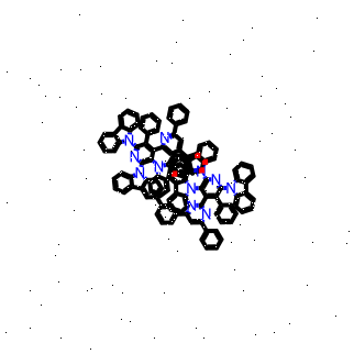 c1ccc(-c2cc(-c3ccccc3)nc(-c3c(-c4ccccc4)c(-n4c5ccccc5c5ccccc54)nc(-n4c5ccccc5c5cc(-c6cccc(-c7cc(-c8ccccc8)nc(-c8c(-c9ccccc9)c(-n9c%10ccccc%10c%10ccccc%109)nc(-n9c%10ccccc%10c%10ccccc%109)c8-n8c9ccccc9c9ccccc98)n7)c6)ccc54)c3-n3c4ccccc4c4ccccc43)c2)cc1